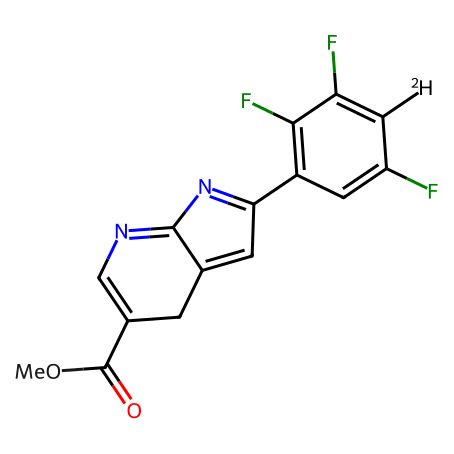 [2H]c1c(F)cc(C2=NC3=NC=C(C(=O)OC)CC3=C2)c(F)c1F